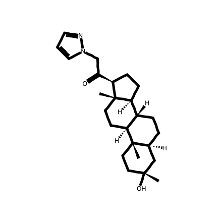 C[C@@]1(O)CC[C@@]2(C)[C@@H](CC[C@@H]3[C@@H]2CC[C@]2(C)[C@@H](C(=O)Cn4cccn4)CC[C@@H]32)C1